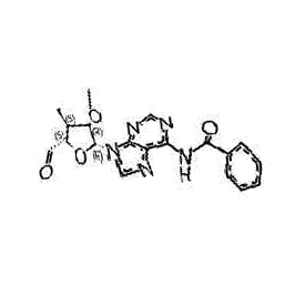 CO[C@@H]1[C@H](C)[C@@H](C=O)O[C@H]1n1cnc2c(NC(=O)c3ccccc3)ncnc21